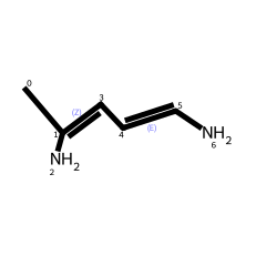 C/C(N)=C/C=C/N